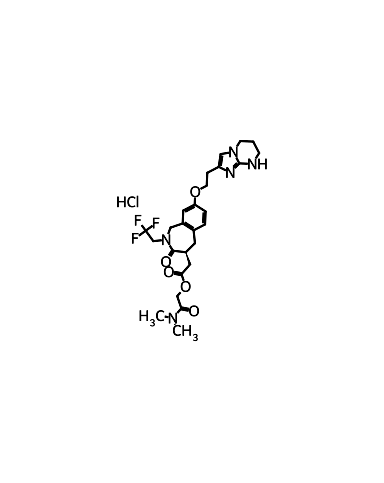 CN(C)C(=O)COC(=O)C[C@@H]1Cc2ccc(OCCc3cn4c(n3)NCCC4)cc2CN(CC(F)(F)F)C1=O.Cl